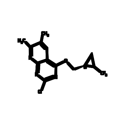 Cc1cc2c(OC[C@@H]3CC3C(F)(F)F)nc(Cl)nc2nc1C